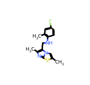 Cc1cn2c(CNc3ccc(F)cc3C)c(C)nc2s1